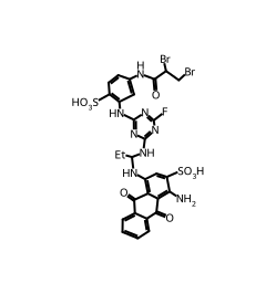 CCC(Nc1nc(F)nc(Nc2cc(NC(=O)C(Br)CBr)ccc2S(=O)(=O)O)n1)Nc1cc(S(=O)(=O)O)c(N)c2c1C(=O)c1ccccc1C2=O